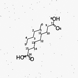 CCCCCC.O=C(O)CCCCCCCC(=O)O